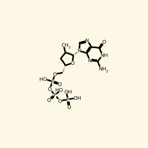 CC1C[C@@H](COP(=O)(O)OP(=O)(O)OP(=O)(O)O)O[C@H]1n1cnc2c(=O)[nH]c(N)nc21